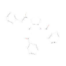 O=C(OC[C@H]1[C@@H](/C(S)=C/c2ccccc2)OC[C@H]1OC(=O)c1ccccc1)c1ccccc1